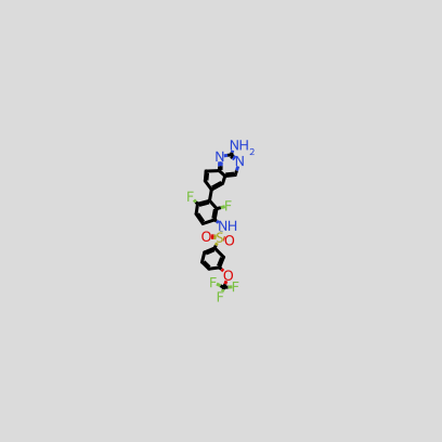 Nc1ncc2cc(-c3c(F)ccc(NS(=O)(=O)c4cccc(OC(F)(F)F)c4)c3F)ccc2n1